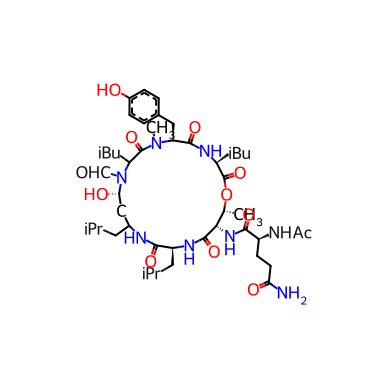 CCC(C)C1C(=O)N(C)[C@@H](Cc2ccc(O)cc2)C(=O)N[C@@H](C(C)CC)C(=O)O[C@H](C)[C@H](NC(=O)[C@H](CCC(N)=O)NC(C)=O)C(=O)N[C@@H](CC(C)C)C(=O)NC(CC(C)C)C[C@H](O)N1C=O